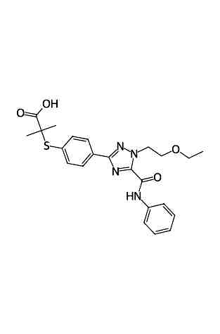 CCOCCn1nc(-c2ccc(SC(C)(C)C(=O)O)cc2)nc1C(=O)Nc1ccccc1